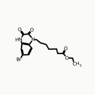 CCOC(=O)CCCCCCn1c(=O)c(=O)[nH]c2cc(Br)ccc21